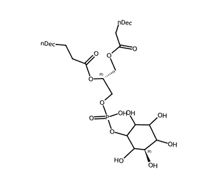 CCCCCCCCCCCCC(=O)O[C@H](COC(=O)CCCCCCCCCCC)COP(=O)(O)OC1C(O)C(O)C(O)[C@@H](O)C1O